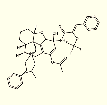 CC(=O)OC1=CC(O)(NC(=O)C(=Cc2ccccc2)OC(F)(F)F)C2O[C@H]3CCC[C@H]4[C@H]5CC1=C2[C@@]34CC[N+]5(CCc1ccccc1)CC(C)C